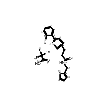 O=C(CCc1ccc(-c2ccccc2F)nc1)NCc1cccs1.O=C(O)C(F)(F)F